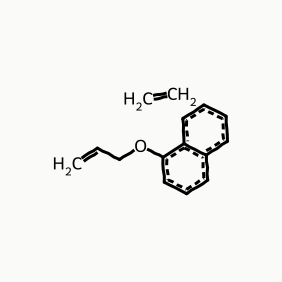 C=C.C=CCOc1cccc2ccccc12